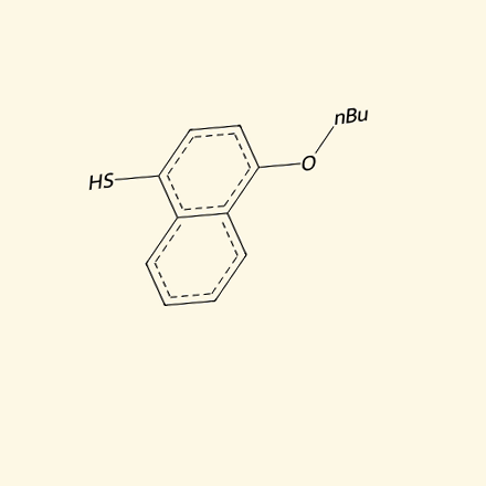 CCCCOc1ccc(S)c2ccccc12